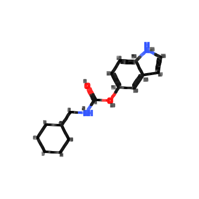 O=C(NCC1CCCCC1)Oc1ccc2[nH]ccc2c1